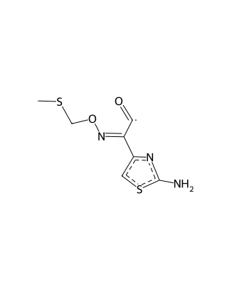 CSCON=C([C]=O)c1csc(N)n1